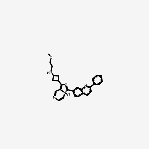 COCCNC1CC(C2=C3C=NC=C[N+]3(Cl)C(c3ccc4ccc(-c5ccccc5)nc4c3)=N2)C1